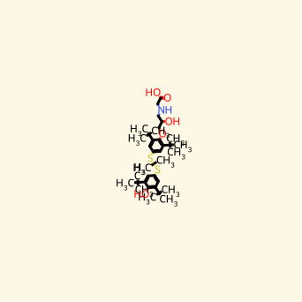 CC(C)(Sc1cc(C(C)(C)C)c(O)c(C(C)(C)C)c1)Sc1cc(C(C)(C)C)c(OCC(O)CNCC(=O)O)c(C(C)(C)C)c1